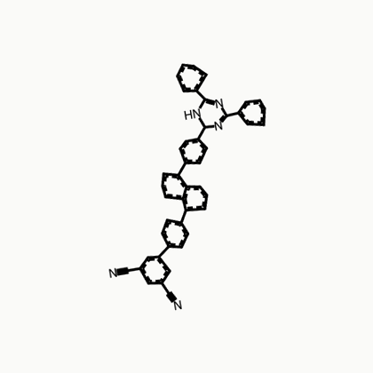 N#Cc1cc(C#N)cc(-c2ccc(-c3cccc4c(-c5ccc(C6N=C(c7ccccc7)N=C(c7ccccc7)N6)cc5)cccc34)cc2)c1